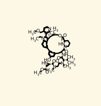 CCn1c(-c2cnccc2COC)c2c3cc(ccc31)-c1cc(O)cc(c1)C[C@H](NC(=O)[C@H](C(C)C)N(C)C(=O)CN(C)C(=O)[C@H]1N[C@H]1C(=O)OC)C(=O)N1CCC[C@H](N1)C(=O)OCC(C)(C)C2